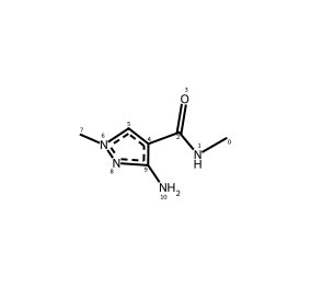 CNC(=O)c1cn(C)nc1N